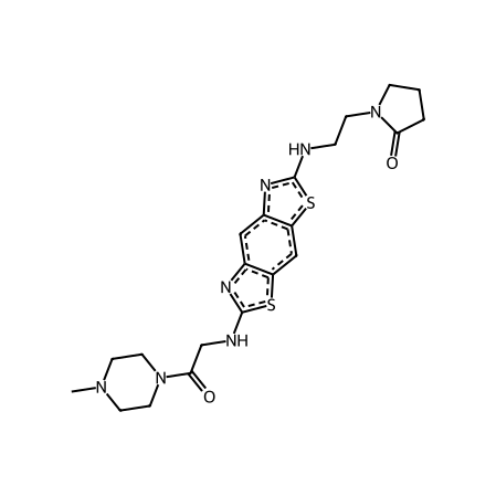 CN1CCN(C(=O)CNc2nc3cc4nc(NCCN5CCCC5=O)sc4cc3s2)CC1